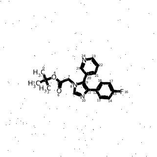 CC(C)(C)OC(=O)Cn1cnc(-c2ccc(F)cc2)c1-c1cccnc1